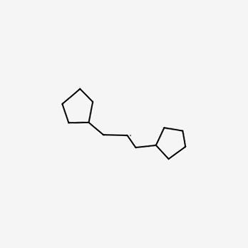 [CH](CC1CCCC1)CC1CCCC1